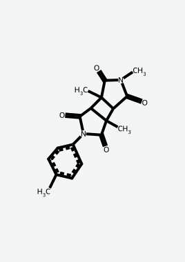 Cc1ccc(N2C(=O)C3C4(C)C(=O)N(C)C(=O)C4C3(C)C2=O)cc1